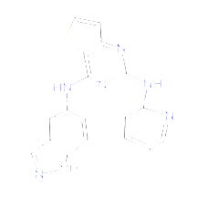 c1ccc(Nc2nc(Nc3ccc4[nH]ncc4c3)c3sccc3n2)nc1